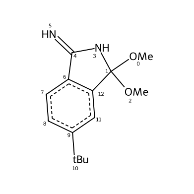 COC1(OC)NC(=N)c2ccc(C(C)(C)C)cc21